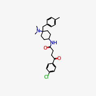 Cc1ccc(CC2(N(C)C)CCC(NC(=O)CCC(=O)c3ccc(Cl)cc3)CC2)cc1